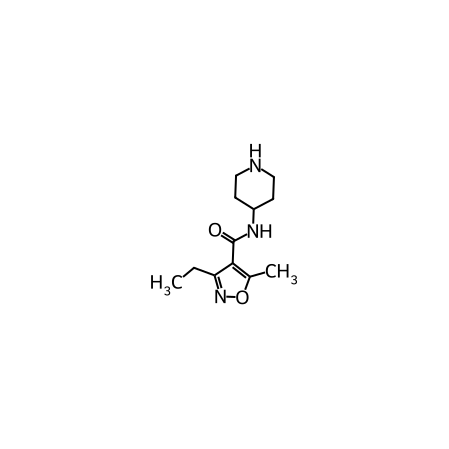 CCc1noc(C)c1C(=O)NC1CCNCC1